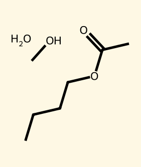 CCCCOC(C)=O.CO.O